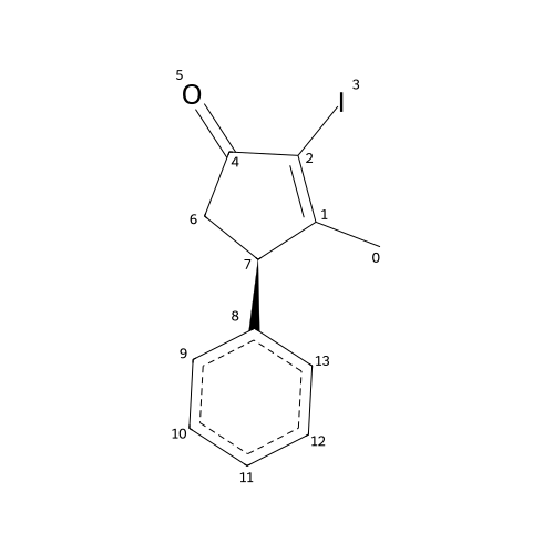 CC1=C(I)C(=O)C[C@@H]1c1ccccc1